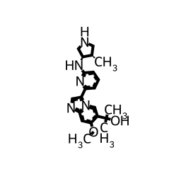 COc1cc2ncc(-c3cccc(N[C@H]4CNC[C@@H]4C)n3)n2cc1C(C)(C)O